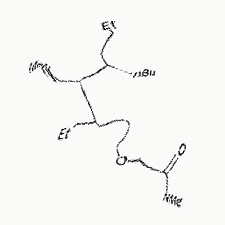 CCCCC(CC)C(NC)C(CC)COC(=O)NC